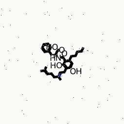 CCCCCc1cc(O)c(C/C=C(\C)CCC=C(C)C)c(O)c1C(=O)N[C@@H](Cc1ccccc1)C(=O)O